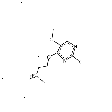 COc1cnc(Cl)nc1OCC[SiH](C)C